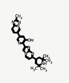 Cc1nc2ccc(-c3cnc(-c4cn5ccc(C6=CC(C)(C)NC(C)(C)C6)nc5n4)c(O)c3)cn2n1